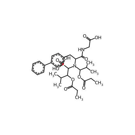 CCC(=O)OC(C(C)C)C(N(C(Cc1ccc(-c2ccccc2)cc1)C(=O)NCC(=O)O)C(OC(=O)CC)C(C)C)P(=O)(O)O